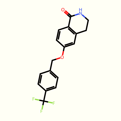 O=C1NCCc2cc(OCc3ccc(C(F)(F)F)cc3)ccc21